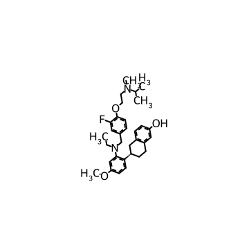 CCN(Cc1ccc(OCCN(C)C(C)C)c(F)c1)c1cc(OC)ccc1[C@@H]1CCc2cc(O)ccc2C1